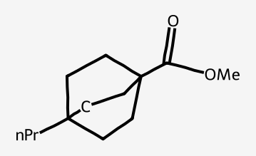 CCCC12CCC(C(=O)OC)(CC1)CC2